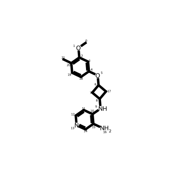 COc1cc(OC2CC(Nc3ccncc3N)C2)ccc1C